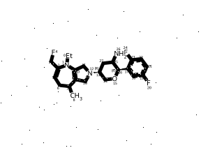 CCN1C(CF)=CCC(C)C2=C1CN([C@H]1CO[C@H](c3cc(F)ccc3F)C(N)C1)C2